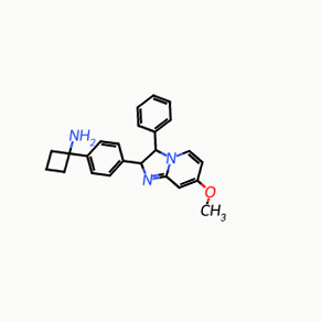 COC1=CC2=NC(c3ccc(C4(N)CCC4)cc3)C(c3ccccc3)N2C=C1